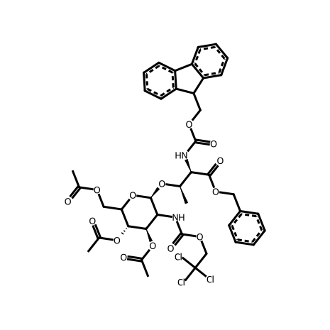 CC(=O)OCC1O[C@@H](O[C@H](C)[C@@H](NC(=O)OCC2c3ccccc3-c3ccccc32)C(=O)OCc2ccccc2)C(NC(=O)OCC(Cl)(Cl)Cl)[C@@H](OC(C)=O)[C@@H]1OC(C)=O